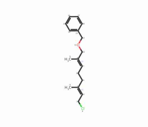 C/C(=C\CCl)CC/C=C(\C)COCc1ccccc1